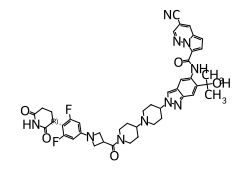 CC(C)(O)c1cc2nn(C3CCN(C4CCN(C(=O)C5CN(c6cc(F)c([C@H]7CCC(=O)NC7=O)c(F)c6)C5)CC4)CC3)cc2cc1NC(=O)c1ccc2cc(C#N)cnn12